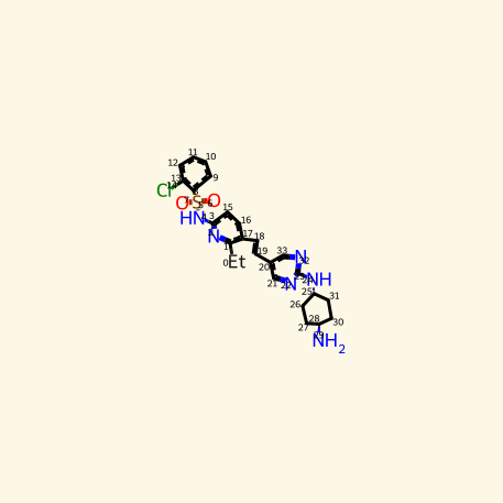 CCc1nc(NS(=O)(=O)c2ccccc2Cl)ccc1C=Cc1cnc(N[C@H]2CC[C@H](N)CC2)nc1